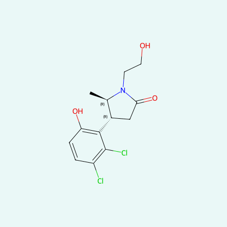 C[C@@H]1[C@@H](c2c(O)ccc(Cl)c2Cl)CC(=O)N1CCO